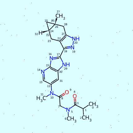 CC(C)C(=O)N(C)CC(=O)N(C)c1cnc2nc(-c3n[nH]c4c3C[C@@H]3C[C@]3(C)C4)[nH]c2c1